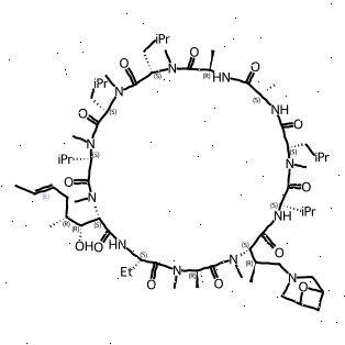 C/C=C/C[C@@H](C)[C@@H](O)[C@H]1C(=O)N[C@@H](CC)C(=O)N(C)[C@H](C)C(=O)N(C)[C@@H]([C@H](C)CN2CC3CC(C2)O3)C(=O)N[C@@H](C(C)C)C(=O)N(C)[C@@H](CC(C)C)C(=O)N[C@@H](C)C(=O)N[C@H](C)C(=O)N(C)[C@@H](CC(C)C)C(=O)N(C)[C@@H](CC(C)C)C(=O)N(C)[C@@H](C(C)C)C(=O)N1C